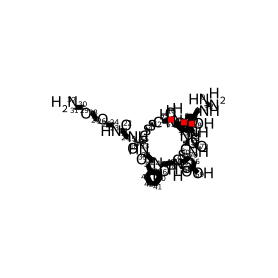 N=C(N)NCCC[C@@H]1NC(=O)[C@@H]2CSSC[C@@H](C(=O)NCC(=O)NCCOCCOCCN)NC(=O)[C@H](Cc3ccccc3)NC(=O)[C@H](CSCC(=O)N[C@@H](CC(=O)O)C(=O)N2)NC(=O)[C@H](CC(=O)O)NC(=O)CNC1=O